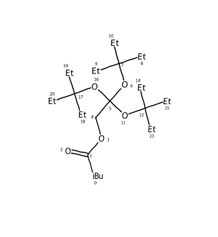 CCC(C)C(=O)OCC(OC(CC)(CC)CC)(OC(CC)(CC)CC)OC(CC)(CC)CC